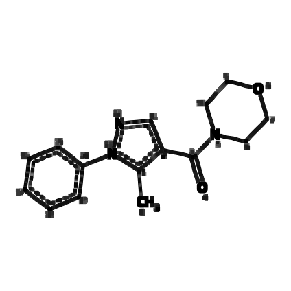 Cc1c(C(=O)N2CCOCC2)cnn1-c1ccccc1